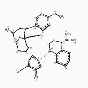 CN[C@H]1CC[C@@H](c2ccc(Cl)c(Cl)c2)c2ccccc21.COc1ccc(C(CN(C)C)C2(O)CCCCC2)cc1.Cl